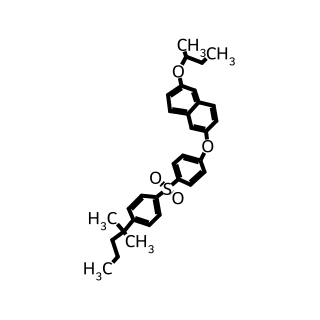 CCCC(C)(C)c1ccc(S(=O)(=O)c2ccc(Oc3ccc4cc(OC(C)CC)ccc4c3)cc2)cc1